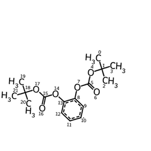 CC(C)(C)OC(=O)Oc1c[c]ccc1OC(=O)OC(C)(C)C